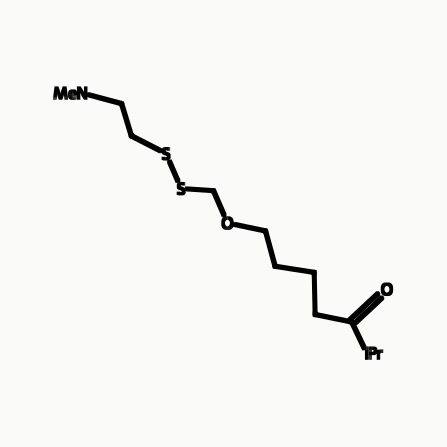 CNCCSSCOCCCCC(=O)C(C)C